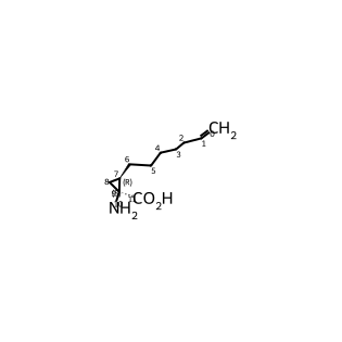 C=CCCCCC[C@@H]1C[C@@]1(N)C(=O)O